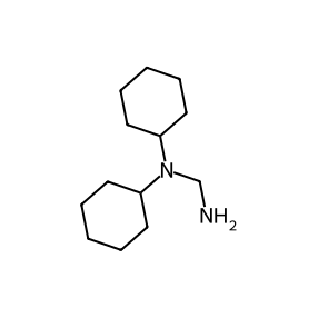 NCN(C1CCCCC1)C1CCCCC1